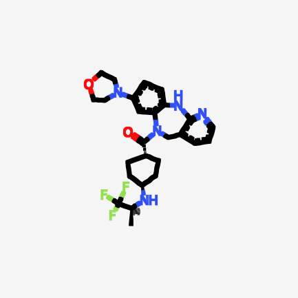 C[C@H](N[C@H]1CC[C@H](C(=O)N2Cc3cccnc3Nc3ccc(N4CCOCC4)cc32)CC1)C(F)(F)F